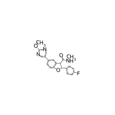 CNC(=O)C1c2cc(-c3cnc(OC)nc3)ccc2OC1c1ccc(F)cc1